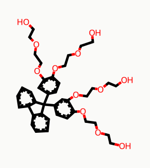 OCCOCCOc1ccc(C2(c3ccc(OCCOCCO)c(OCCOCCO)c3)c3ccccc3-c3ccccc32)cc1OCCOCCO